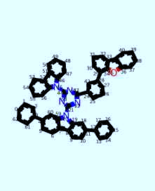 c1ccc(-c2ccc3c4ccc(-c5ccccc5)cc4n(-c4nc(-c5cccc(-c6cccc7c6oc6ccccc67)c5)nc(-n5c6ccccc6c6ccccc65)n4)c3c2)cc1